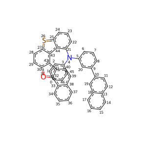 c1ccc(N(c2cccc(-c3ccc4ccccc4c3)c2)c2cccc3sc4ccc5oc6c7ccccc7ccc6c5c4c23)cc1